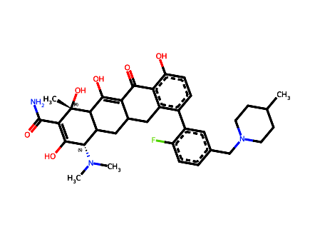 CC1CCN(Cc2ccc(F)c(-c3ccc(O)c4c3CC3CC5C(C(O)=C3C4=O)[C@@](C)(O)C(C(N)=O)=C(O)[C@H]5N(C)C)c2)CC1